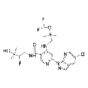 CC(C)(CNc1cc(-n2ncc3cc(Cl)cnc32)ncc1C(=O)NCC(F)C(C)(C)O)OC(F)F